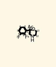 CC(=O)C1(c2cccc(F)c2F)CNCCO1